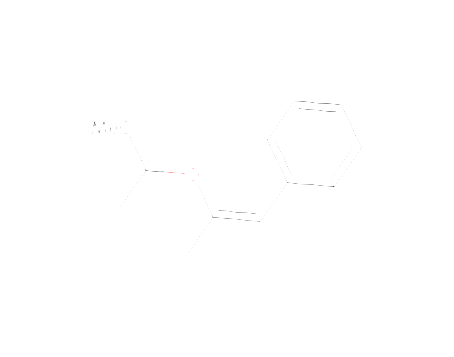 COC(C)OC(C)=Cc1ccccc1